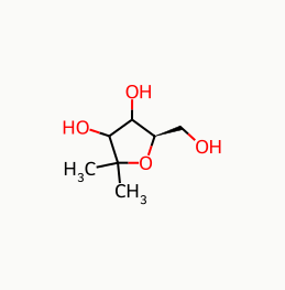 CC1(C)O[C@H](CO)C(O)C1O